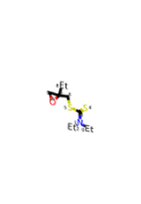 CCN(CC)C(=S)SCC1(CC)CO1